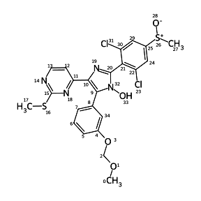 COCOc1cccc(-c2c(-c3ccnc(SC)n3)nc(-c3c(Cl)cc([S+](C)[O-])cc3Cl)n2O)c1